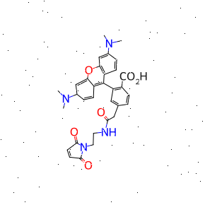 CN(C)c1ccc2c(c1)OC1=CC(N(C)C)C=CC1=C2c1cc(CC(=O)NCCN2C(=O)C=CC2=O)ccc1C(=O)O